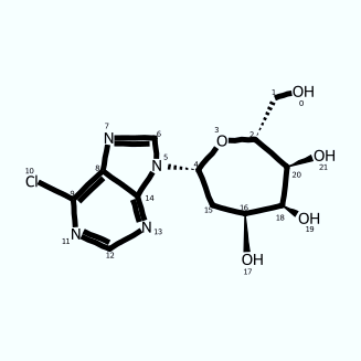 OC[C@H]1O[C@@H](n2cnc3c(Cl)ncnc32)C[C@H](O)[C@H](O)[C@@H]1O